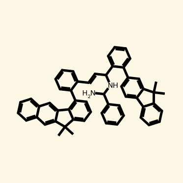 CC1(C)c2ccccc2-c2ccc(-c3ccccc3C(/C=C/c3ccccc3-c3cccc4c3-c3cc5ccccc5cc3C4(C)C)NC(N)c3ccccc3)cc21